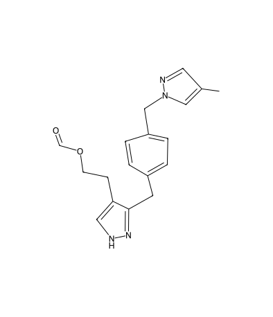 Cc1cnn(Cc2ccc(Cc3n[nH]cc3CCOC=O)cc2)c1